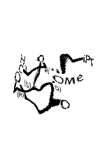 CO[C@@H]1C(=O)CC[C@]2(CO2)[C@H]1C1(C)O[C@@H]1CCC(C)C